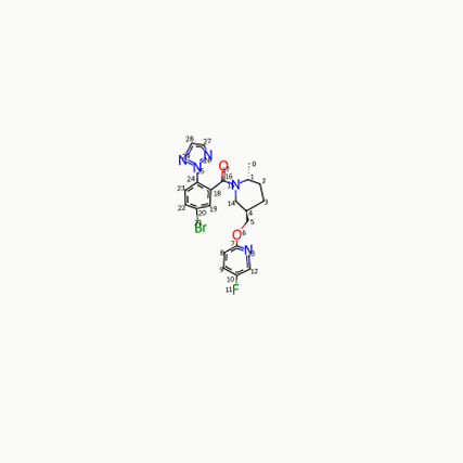 C[C@@H]1CC[C@@H](COc2ccc(F)cn2)CN1C(=O)c1cc(Br)ccc1-n1nccn1